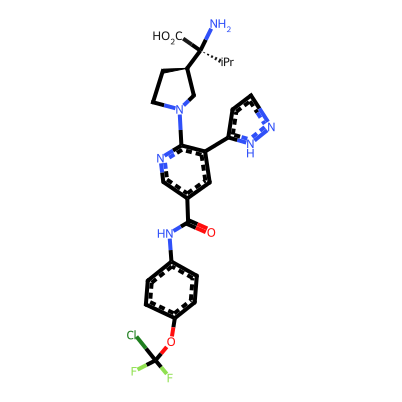 CC(C)[C@@](N)(C(=O)O)[C@@H]1CCN(c2ncc(C(=O)Nc3ccc(OC(F)(F)Cl)cc3)cc2-c2ccn[nH]2)C1